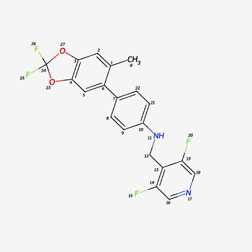 Cc1cc2c(cc1-c1ccc(NCc3c(F)cncc3F)cc1)OC(F)(F)O2